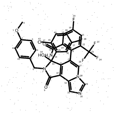 COc1ccc(CN2C(=O)c3c(c(-c4c(C(N)=O)cc(F)cc4C(F)(F)F)cn4cncc34)C2(O)c2cc(F)ccc2Cl)cc1